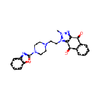 C[n+]1nc2c(n1CCN1CCN(c3nc4ccccc4o3)CC1)C(=O)c1ccccc1C2=O